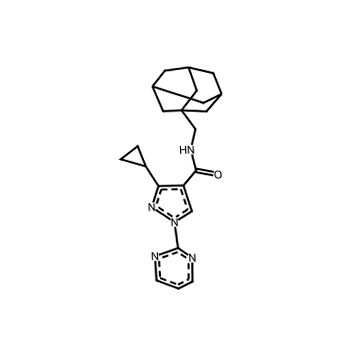 O=C(NCC12CC3CC(CC(C3)C1)C2)c1cn(-c2ncccn2)nc1C1CC1